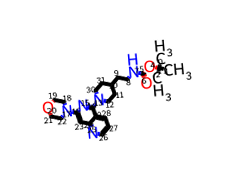 CC(C)(C)OC(=O)NCCC1CCN(c2nc(N3CCOCC3)cc3ncccc23)CC1